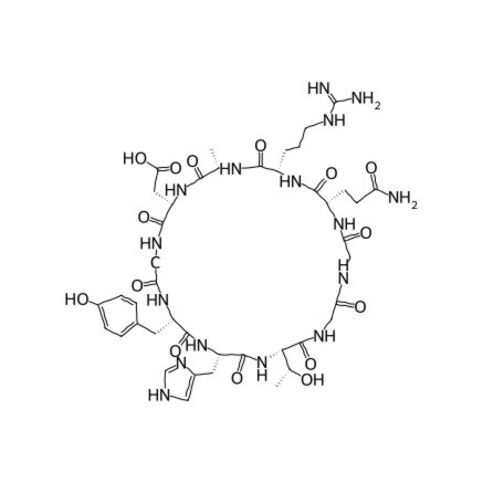 C[C@@H]1NC(=O)[C@H](CCCNC(=N)N)NC(=O)[C@H](CCC(N)=O)NC(=O)CNC(=O)CNC(=O)[C@H]([C@@H](C)O)NC(=O)[C@H](Cc2c[nH]cn2)NC(=O)[C@H](Cc2ccc(O)cc2)NC(=O)CNC(=O)[C@H](CC(=O)O)NC1=O